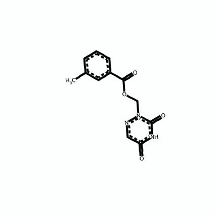 Cc1cccc(C(=O)OCn2ncc(=O)[nH]c2=O)c1